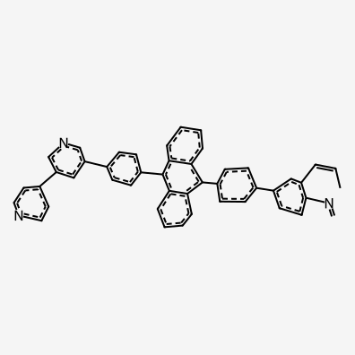 C=Nc1ccc(-c2ccc(-c3c4ccccc4c(-c4ccc(-c5cncc(-c6ccncc6)c5)cc4)c4ccccc34)cc2)cc1/C=C\C